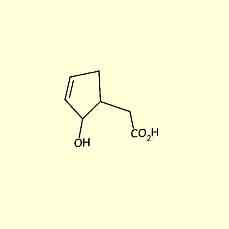 O=C(O)CC1CC=CC1O